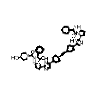 NC(C(=O)N1CCC[C@H]1c1ncc(-c2ccc(C#Cc3ccc(-c4cnc([C@@H]5CCCN5C(=O)[C@H](NC(=O)N5CCC(O)CC5)c5ccccc5)[nH]4)cc3)cc2)[nH]1)c1ccccc1